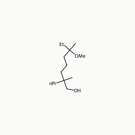 CCCC(C)(CO)CCCC(C)(CC)OC